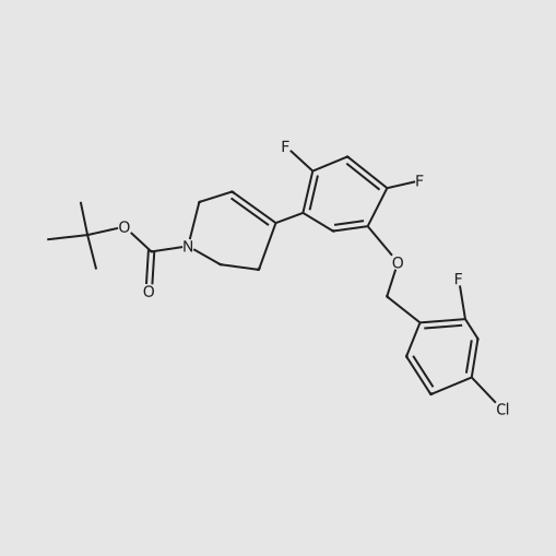 CC(C)(C)OC(=O)N1CC=C(c2cc(OCc3ccc(Cl)cc3F)c(F)cc2F)CC1